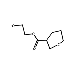 [O]CCOC(=O)C1CCCCC1